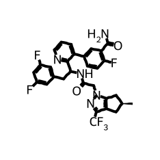 C[C@H]1Cc2c(C(F)(F)F)nn(CC(=O)NC(Cc3cc(F)cc(F)c3)c3ncccc3-c3ccc(F)c(C(N)=O)c3)c2C1